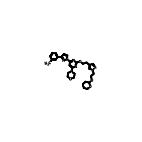 Cc1cccc(-c2ccn(-c3cc(N4CCOCC4)nc(OCCc4cnn(CCOC5CCCCO5)c4)n3)n2)c1